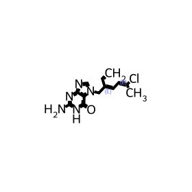 C=C/C(=C\C=C(/C)Cl)Cn1cnc2nc(N)[nH]c(=O)c21